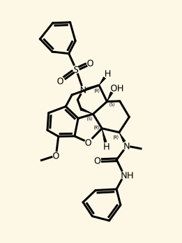 COc1ccc2c3c1O[C@H]1[C@H](N(C)C(=O)Nc4ccccc4)CC[C@@]4(O)[C@@H](C2)N(S(=O)(=O)c2ccccc2)CC[C@]314